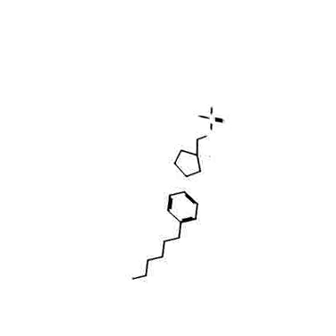 CCCCCCc1ccc([C@@H]2CC[C@@](N)(COP(=O)(O)O)C2)cc1